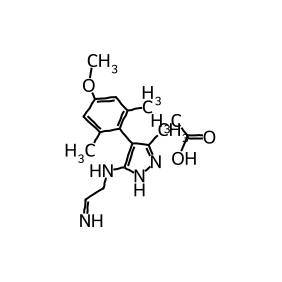 CC(=O)O.COc1cc(C)c(-c2c(C)n[nH]c2NCC=N)c(C)c1